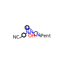 CCCC(C)N1CCC(N(Cc2ccccc2)C(O)Nc2ccc(CC#N)cc2)CC1